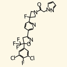 O=C(Cn1cccn1)N1CC(F)(c2ccc(C3=NOC(c4cc(Cl)c(F)c(Cl)c4)(C(F)(F)F)C3)cn2)C1